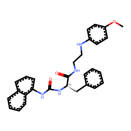 COc1ccc(NCCNC(=O)[C@H](Cc2ccccc2)NC(=O)Nc2cccc3ccccc23)cc1